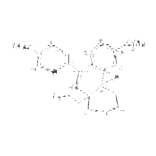 COc1ccc(C2=NC3(CC(F)(F)F)CCCCC3(C)c3cc(OC)ccc32)cc1